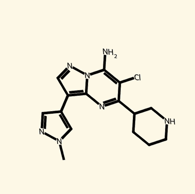 Cn1cc(-c2cnn3c(N)c(Cl)c(C4CCCNC4)nc23)cn1